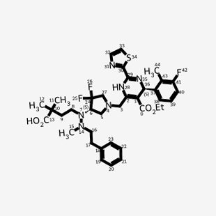 CCOC(=O)C1=C(CN2C[C@H](N(CCC(C)(C)C(=O)O)N(C)CCc3ccccc3)C(F)(F)C2)NC(c2nccs2)=N[C@H]1c1cccc(F)c1C